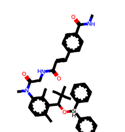 CNC(=O)c1ccc(C=CC(=O)NCC(=O)N(C)c2ccc(C)c(C(O[SiH](c3ccccc3)c3ccccc3)C(C)(C)C)c2C)cc1